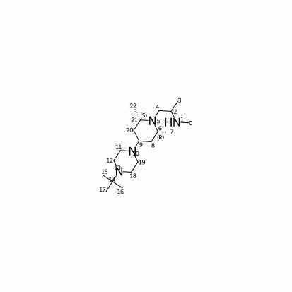 CNC(C)CN1[C@H](C)CC(N2CCN(C(C)(C)C)CC2)C[C@@H]1C